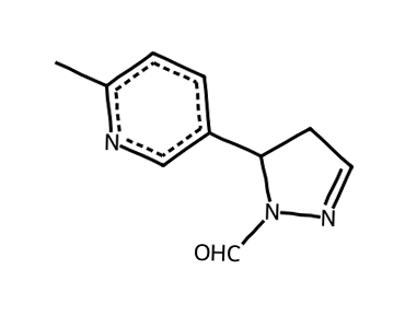 Cc1ccc(C2CC=NN2C=O)cn1